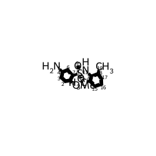 COc1ccc(N)cc1S(=O)(=O)Nc1c(C)cccc1C